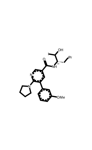 COc1cccc(-c2cc(C(=O)N[C@@H](CC(C)C)C(O)I)cnc2N2CCCC2)c1